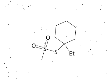 CCC1(SS(C)(=O)=O)CCCCC1